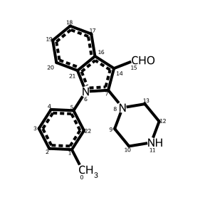 Cc1cccc(-n2c(N3CCNCC3)c(C=O)c3ccccc32)c1